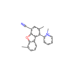 Cc1cc(C#N)c2oc3c(C)cccc3c2c1-c1cccc[n+]1C